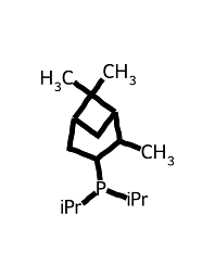 CC1C(P(C(C)C)C(C)C)CC2CC1C2(C)C